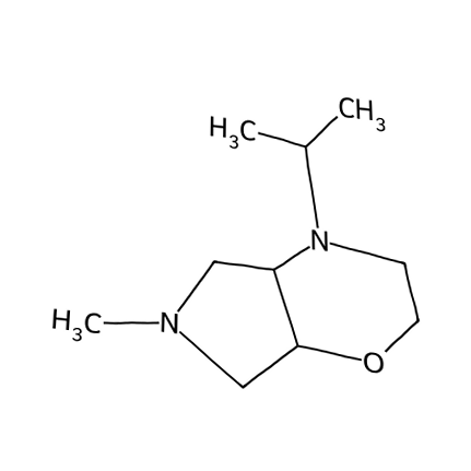 CC(C)N1CCOC2CN(C)CC21